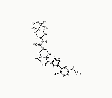 COc1ccc(F)c(-c2cc(C(=O)N3CC[C@@H](C(=O)N[C@H]4CC[C@]5(CC4)OCCC5(F)F)CC34CC4)n[nH]2)c1